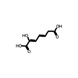 O=C(O)CC=CC=C(O)C(=O)O